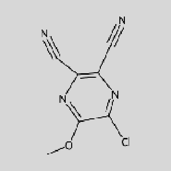 COc1nc(C#N)c(C#N)nc1Cl